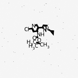 CC(C)(C)OC(=O)Nc1cc(Cl)ncc1-c1ccn(C2CC2)n1